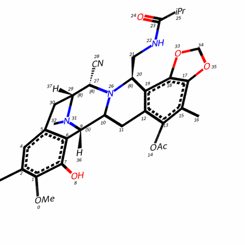 COc1c(C)cc2c(c1O)[C@H]1C3Cc4c(OC(C)=O)c(C)c5c(c4[C@H](CNC(=O)C(C)C)N3[C@@H](C#N)[C@@H](C2)N1C)OCO5